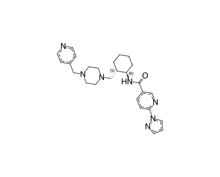 O=C(N[C@@H]1CCCC[C@H]1CN1CCN(Cc2ccncc2)CC1)c1ccc(-n2cccn2)nc1